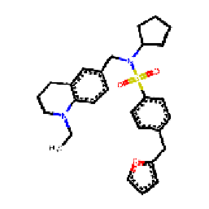 CCN1CCCc2cc(CN(C3CCCC3)S(=O)(=O)c3ccc(Cc4ccco4)cc3)ccc21